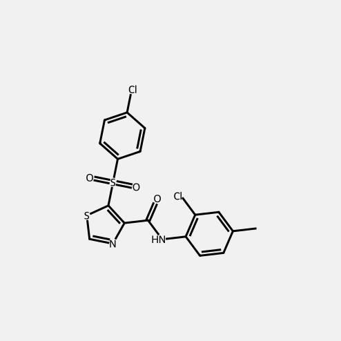 Cc1ccc(NC(=O)c2ncsc2S(=O)(=O)c2ccc(Cl)cc2)c(Cl)c1